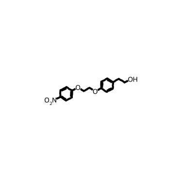 O=[N+]([O-])c1ccc(OCCOc2ccc(CCO)cc2)cc1